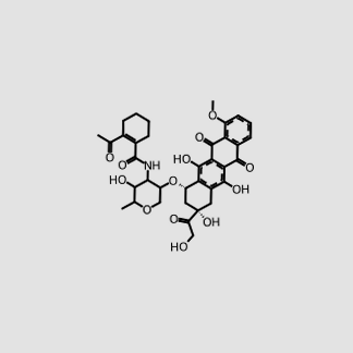 COc1cccc2c1C(=O)c1c(O)c3c(c(O)c1C2=O)C[C@@](O)(C(=O)CO)C[C@@H]3OC1COC(C)C(O)C1NC(=O)C1=C(C(C)=O)CCCC1